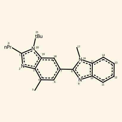 CCCc1nc2c(C)cc(-c3nc4ccccc4n3C)cc2n1C(C)(C)C